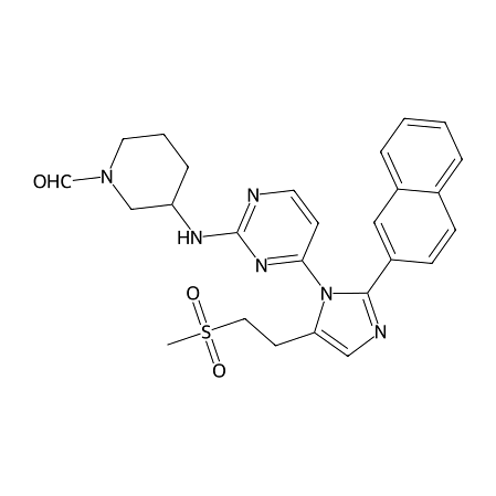 CS(=O)(=O)CCc1cnc(-c2ccc3ccccc3c2)n1-c1ccnc(NC2CCCN(C=O)C2)n1